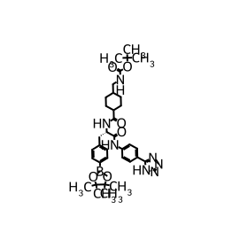 CC(C)(C)OC(=O)NCC1CCC(C(=O)N[C@@H](Cc2ccc(B3OC(C)(C)C(C)(C)O3)cc2)C(=O)Nc2ccc(-c3nnn[nH]3)cc2)CC1